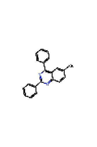 CC(C)(C)c1ccc2nc(-c3ccccc3)nc(-c3ccccc3)c2c1